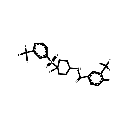 O=C(NC1CCC(F)(S(=O)(=O)c2cccc(C(F)(F)F)c2)CC1)c1ccc(F)c(C(F)(F)F)c1